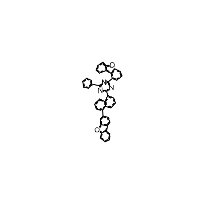 c1ccc(-c2nc(-c3cccc4c(-c5ccc6c(c5)oc5ccccc56)cccc34)nc(-c3cccc4oc5ccccc5c34)n2)cc1